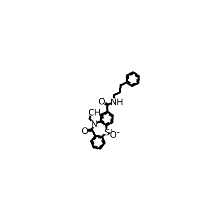 CCN1C(=O)c2ccccc2[S+]([O-])c2ccc(C(=O)NCCCc3ccccc3)cc21